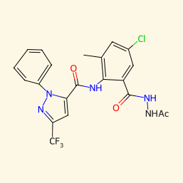 CC(=O)NNC(=O)c1cc(Cl)cc(C)c1NC(=O)c1cc(C(F)(F)F)nn1-c1ccccc1